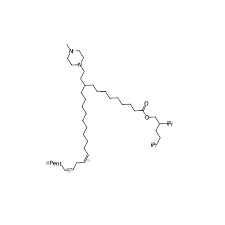 CCCCC/C=C\C/C=C\CCCCCCCCCC(CCCCCCCCC(=O)OCC(CCC(C)C)C(C)C)CCN1CCN(C)CC1